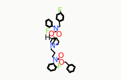 O=C(OCc1ccccc1)N(CCC[N+]12CCC(CC1)[C@@H](OC(=O)N(Cc1ccc(F)cc1)c1ccccc1F)C2)c1ccccc1F